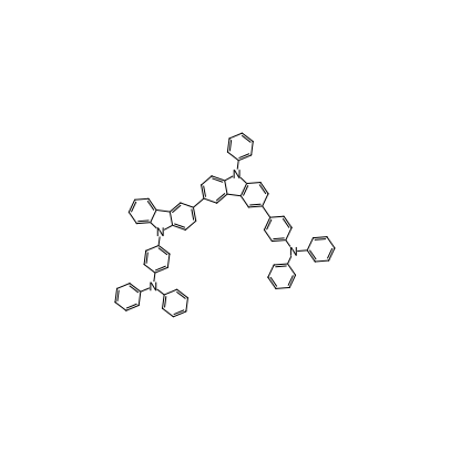 c1ccc(N(c2ccccc2)c2ccc(-c3ccc4c(c3)c3cc(-c5ccc6c(c5)c5ccccc5n6-c5ccc(N(c6ccccc6)c6ccccc6)cc5)ccc3n4-c3ccccc3)cc2)cc1